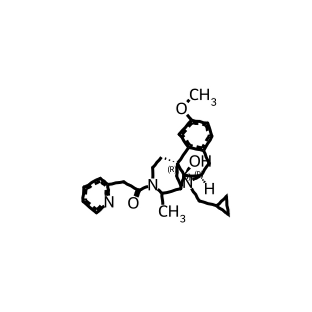 COc1ccc2c(c1)[C@@]13CCN(C(=O)Cc4ccccn4)C(C)C[C@@]1(O)[C@@H](C2)N(CC1CC1)CC3